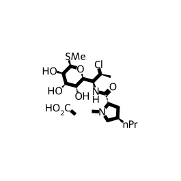 CC(=O)O.CCC[C@@H]1C[C@@H](C(=O)N[C@@H]([C@H]2O[C@H](SC)[C@H](O)[C@@H](O)[C@H]2O)[C@H](C)Cl)N(C)C1